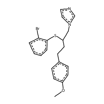 COc1ccc(CCC(Cn2ccnc2)Sc2ccccc2Br)cc1